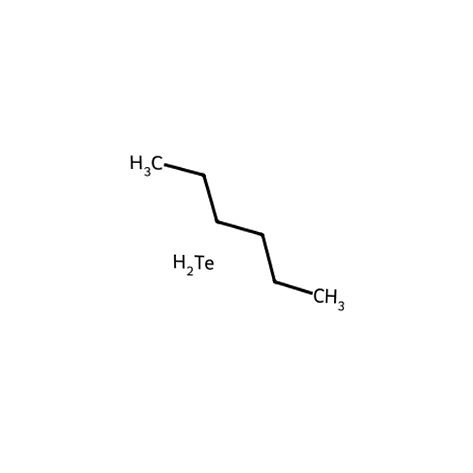 CCCCCC.[TeH2]